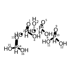 O.O=[PH](O)O.O=[PH](O)O.O=[PH](O)O.O=[PH](O)O